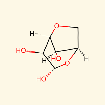 O[C@@H]1[C@H]2OC[C@@H](O[C@@H]1O)[C@H]2O